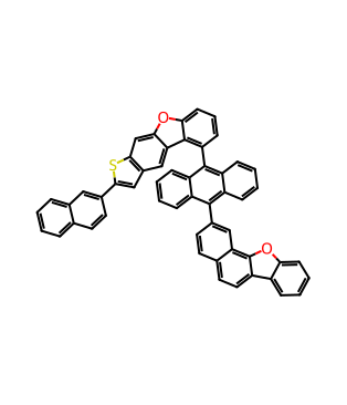 c1ccc2cc(-c3cc4cc5c(cc4s3)oc3cccc(-c4c6ccccc6c(-c6ccc7ccc8c9ccccc9oc8c7c6)c6ccccc46)c35)ccc2c1